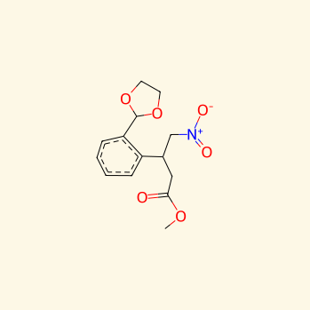 COC(=O)CC(C[N+](=O)[O-])c1ccccc1C1OCCO1